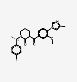 COc1cc(C(=O)C2CCCN([C@@H](C)c3ccc(F)cc3)C2=O)ccc1-n1cnc(C)c1